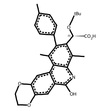 Cc1ccc(-c2c([C@H](OC(C)(C)C)C(=O)O)c(C)c3nc(O)c4cc5c(cc4c3c2C)OCCO5)cc1